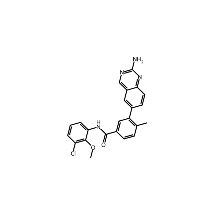 COc1c(Cl)cccc1NC(=O)c1ccc(C)c(-c2ccc3nc(N)ncc3c2)c1